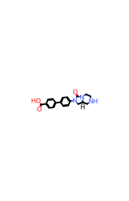 O=C(O)c1ccc(-c2ccc(N3C[C@@H]4CNCCN4C3=O)cc2)cc1